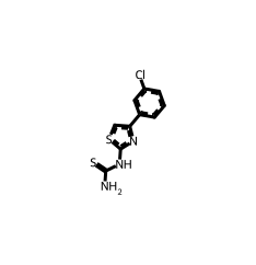 NC(=S)Nc1nc(-c2cccc(Cl)c2)cs1